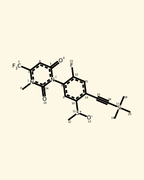 Cn1c(C(F)(F)F)cc(=O)n(-c2cc([S+](C)[O-])c(C#C[Si](C)(C)C)cc2F)c1=O